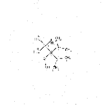 CO[Si](N(C)C)(N(C)C)C(C)(C)C